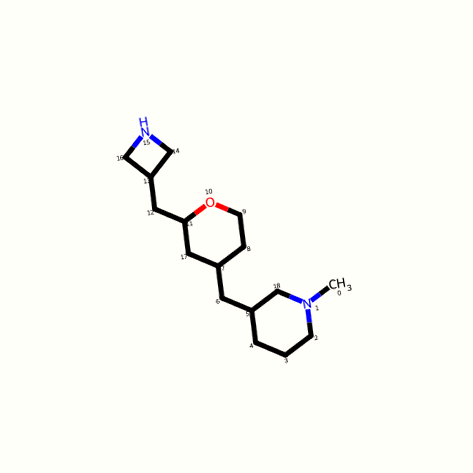 CN1CCCC(CC2CCOC(CC3CNC3)C2)C1